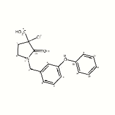 O=C(O)C1(Cl)CCN(Cc2cccc(Oc3ccccc3)c2)C1=O